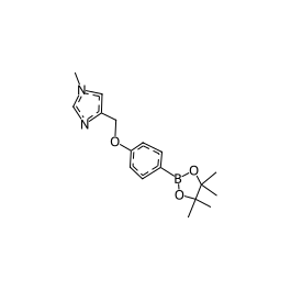 Cn1cnc(COc2ccc(B3OC(C)(C)C(C)(C)O3)cc2)c1